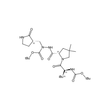 CC[C@H](C)[C@H](NC(=O)OC(C)(C)C)C(=O)N1CC(C)(C)C[C@H]1C(=O)NN(C[C@@H]1CCNC1=O)C(=O)OC(C)(C)C